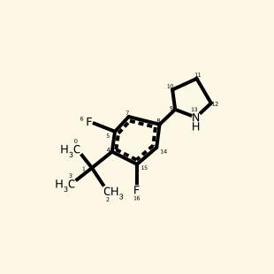 CC(C)(C)c1c(F)cc(C2CCCN2)cc1F